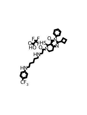 O=C(CNCCCCCNc1ccc(C(F)(F)F)cc1)N1CCc2nc(C3CCC3)n(-c3ccccc3)c(=O)c2C1S.O=C(O)C(F)(F)F